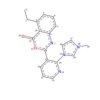 CCc1cccc2nc(-c3cccnc3-n3cc[n+](C)c3)oc(=O)c12